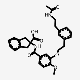 COc1ccc(C(=O)NC2(C(=O)O)Cc3ccccc3C2)cc1OCCc1cccc(CCNC(C)=O)c1